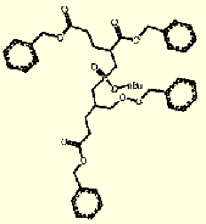 CCCCOP(=O)(CC(CCC(=O)OCc1ccccc1)COOCc1ccccc1)CC(CCC(=O)OCc1ccccc1)C(=O)OCc1ccccc1